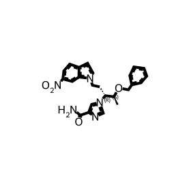 C[C@H](OCc1ccccc1)[C@@H](CCn1ccc2ccc([N+](=O)[O-])cc21)n1cnc(C(N)=O)c1